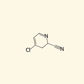 N#CC1CC(Cl)=CC=N1